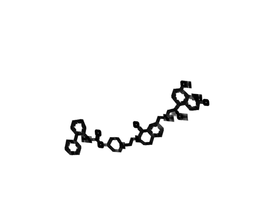 O=C(Nc1ccccc1-c1ccccc1)OC1CCN(CCN2CCc3ccc(CNC[C@H](O)c4ccc(O)c5[nH]c(=O)ccc45)cc3C2=O)CC1